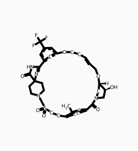 Cc1cc2ccc1CCS(=O)(=O)N1CCC3(CC1)N=C(NC3=O)c1cc(cc(C(F)(F)F)c1)OCC/C=C/CO[C@H]1CN(C[C@@H]1O)C2=O